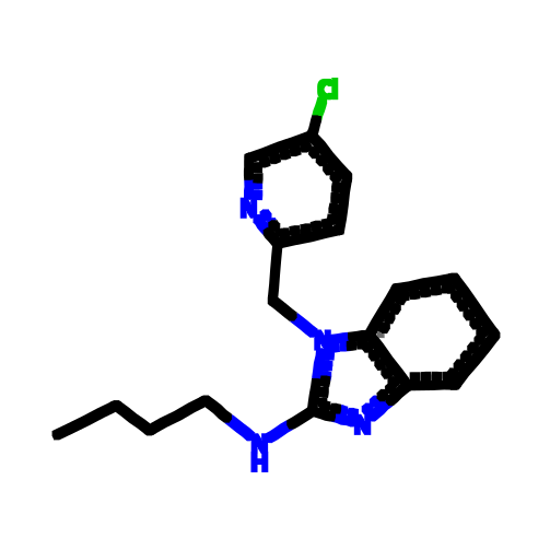 CCCCNc1nc2ccccc2n1Cc1ccc(Cl)cn1